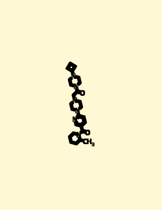 CC1CCCCN1C(=O)c1ccc(N2CCN(CC(=O)N3CCN(C4CCC4)CC3)CC2)nc1